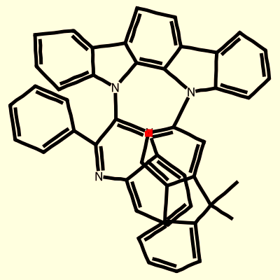 CC1(C)c2ccccc2-c2ccc(-n3c4ccccc4c4ccc5c6ccccc6n(-c6nc7ccccc7nc6-c6ccccc6)c5c43)cc21